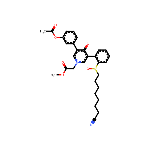 COC(=O)Cn1cc(-c2cccc(OC(C)=O)c2)c(=O)c(-c2ccccc2[S+]([O-])CCCCCCCC#N)c1